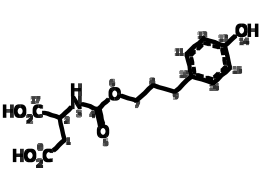 O=C(O)CC(NC(=O)OCCCc1ccc(O)cc1)C(=O)O